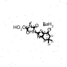 CN(C(=O)Nc1nc2c(s1)C(=O)CC(C)(C)C2)C(=O)C(=O)O.[BaH2]